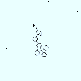 N#Cc1ccnc(-c2cccc(-c3ccc4c(c3)-c3ccccc3C4(c3ccccc3)c3ccccc3)c2)c1